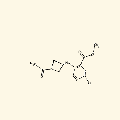 COC(=O)c1nc(Cl)ncc1NC1CN(C(C)=O)C1